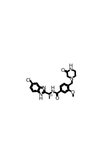 COc1cc(C(=O)N[C@@H](C)c2nc3cc(Cl)ccc3[nH]2)ccc1CN1CCNC(=O)C1